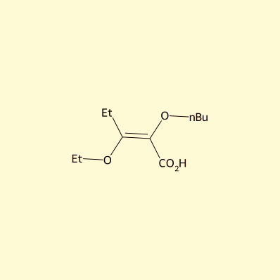 CCCCO/C(C(=O)O)=C(\CC)OCC